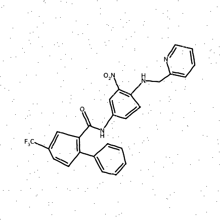 O=C(Nc1ccc(NCc2ccccn2)c([N+](=O)[O-])c1)c1cc(C(F)(F)F)ccc1-c1ccccc1